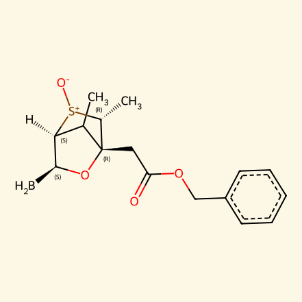 B[C@@H]1O[C@]2(CC(=O)OCc3ccccc3)C(C)[C@@H]1[S+]([O-])[C@@H]2C